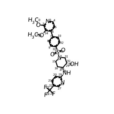 COc1nccc(-c2ccc(S(=O)(=O)N3CC[C@@H](Nc4ccc(C(F)(F)F)cn4)[C@@H](O)C3)cc2)c1OC